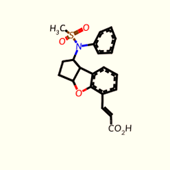 CS(=O)(=O)N(c1ccccc1)C1CCC2Oc3c(C=CC(=O)O)cccc3C21